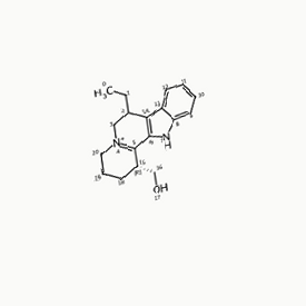 CCC1C[N+]2=C(c3[nH]c4ccccc4c31)[C@H](CO)CCC2